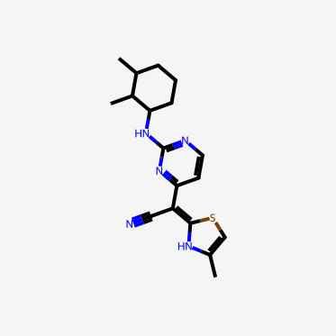 CC1=CS/C(=C(/C#N)c2ccnc(NC3CCCC(C)C3C)n2)N1